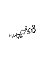 Nc1n[nH]c(N2CCN(C(=O)C(O)Cc3ccccc3Cl)CC2)n1